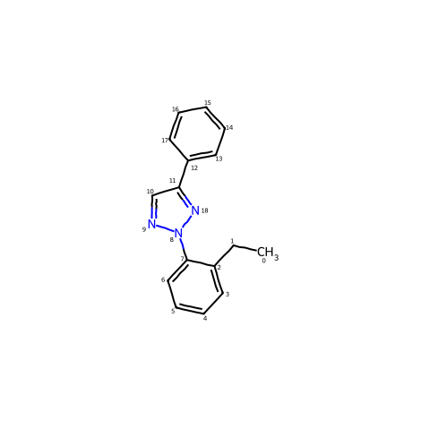 CCc1ccccc1-n1ncc(-c2ccccc2)n1